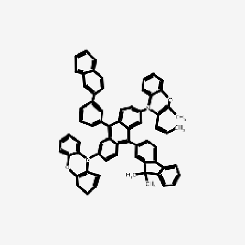 C/C=C\C1=C(C)Oc2ccccc2N1c1ccc2c(-c3cccc(-c4ccc5ccccc5c4)c3)c3cc(N4C5=C(CCC=C5)Oc5ccccc54)ccc3c(-c3ccc4c(c3)C(C)(C)c3ccccc3-4)c2c1